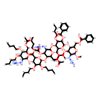 CCCCOC(=O)C1O[C@@H](O[C@@H]2C(COC(C)=O)O[C@H](O[C@@H]3C(COOC)O[C@@H](O[C@@H]4C(COC(=O)c5ccccc5)O[C@H](OC)C(N=[N+]=[N-])C4OCCCC)C(OC(=O)c4ccccc4)C3OCCCC)C(N=[N+]=[N-])C2OC(C)=O)C(OCCCC)C(OCCCC)[C@@H]1O[C@H]1OC(COC(C)=O)[C@@H](OCCCC)C(OCCCC)C1N=[N+]=[N-]